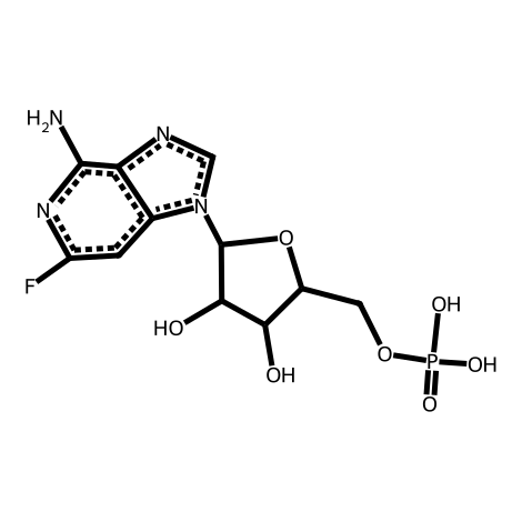 Nc1nc(F)cc2c1ncn2C1OC(COP(=O)(O)O)C(O)C1O